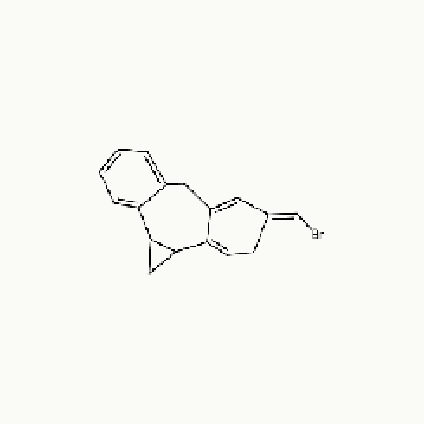 BrC=C1C=C2Cc3ccccc3C3CC3C2=CC1